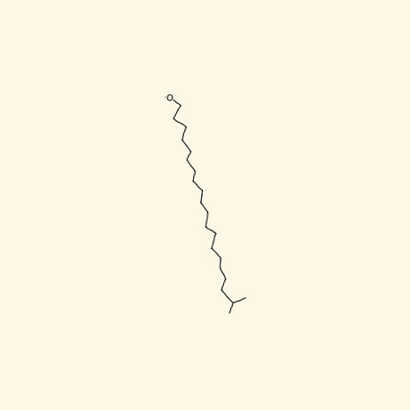 CC(C)CCCCCCCCCCCCCCCCCC[O]